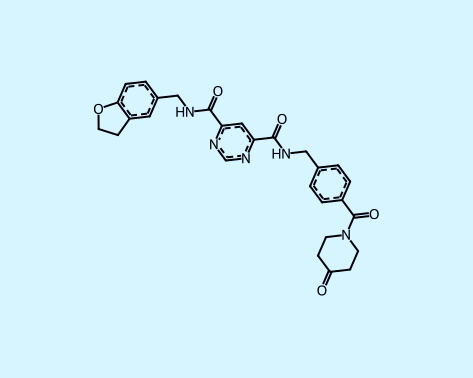 O=C1CCN(C(=O)c2ccc(CNC(=O)c3cc(C(=O)NCc4ccc5c(c4)CCO5)ncn3)cc2)CC1